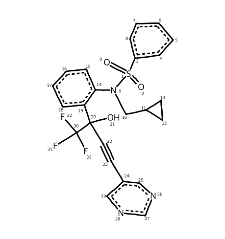 O=S(=O)(c1ccccc1)N(CC1CC1)c1ccccc1C(O)(C#Cc1cncnc1)C(F)(F)F